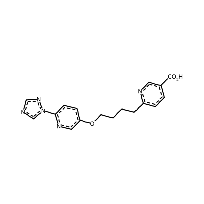 O=C(O)c1ccc(CCCCOc2ccc(-n3cncn3)nc2)nc1